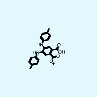 COC(=O)c1cc(Nc2ccc(C)cc2)c(Nc2ccc(C)cc2)cc1C(=O)O